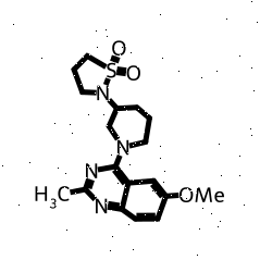 COc1ccc2nc(C)nc(N3CCCC(N4CCCS4(=O)=O)C3)c2c1